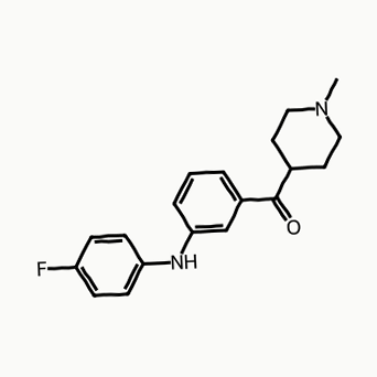 CN1CCC(C(=O)c2cccc(Nc3ccc(F)cc3)c2)CC1